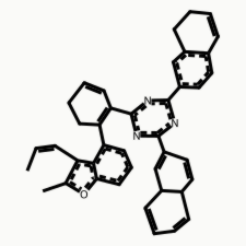 C/C=C\c1c(C)oc2cccc(C3=C(c4nc(C5=CC6C=CC=CC6C=C5)nc(-c5ccc6c(c5)CCC=C6)n4)C=CCC3)c12